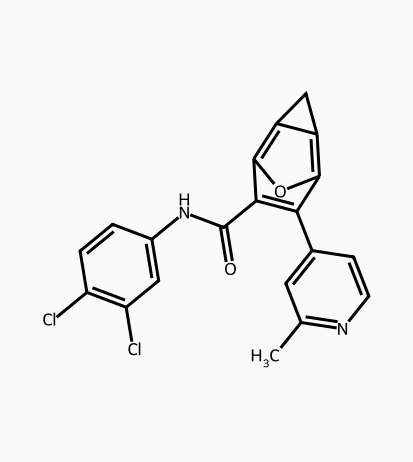 Cc1cc(-c2c(C(=O)Nc3ccc(Cl)c(Cl)c3)c3oc2c2c3C2)ccn1